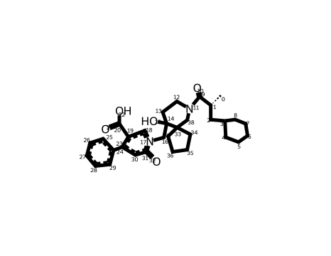 C[C@H](CC1CCCCC1)C(=O)N1CCC(O)(Cn2cc(C(=O)O)c(-c3ccccc3)cc2=O)C2(CCCC2)C1